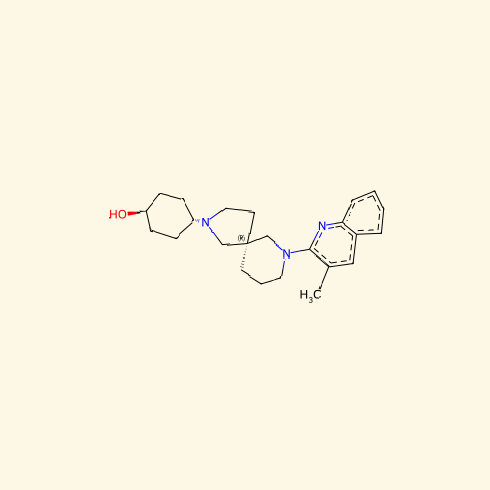 Cc1cc2ccccc2nc1N1CCC[C@]2(CCN([C@H]3CC[C@H](O)CC3)C2)C1